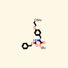 COCCOc1ccc(C[C@H](NC(=O)OCc2ccccc2)C(=O)OC(C)(C)C)cc1